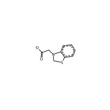 [O]C(=O)CN1CSc2ccccc21